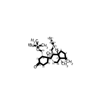 C=C1CC[C@H]2[C@H](CN=[N+]=[N-])[C@@H]([C@@]3(C)CCC(=O)C[C@@H]3CO[Si](C)(C)C(C)(C)C)CC[C@]12C